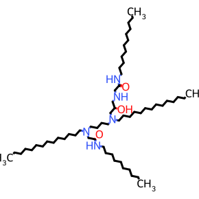 CCCCCCCCCCCCCCN(CCCCN(CCCCCCCCCCCCCC)CC(O)CNCC(=O)NCCCCCCCCCCCC)CC(=O)NCCCCCCCCCC